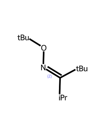 CC(C)/C(=N/OC(C)(C)C)C(C)(C)C